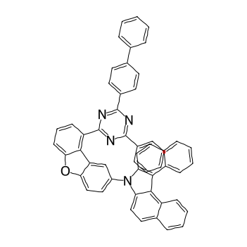 c1ccc(-c2ccc(-c3nc(-c4ccccc4)nc(-c4cccc5oc6ccc(-n7c8ccc9ccccc9c8c8c9ccccc9ccc87)cc6c45)n3)cc2)cc1